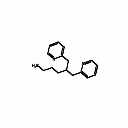 NCCCC(Cc1ccccn1)Cc1ccccn1